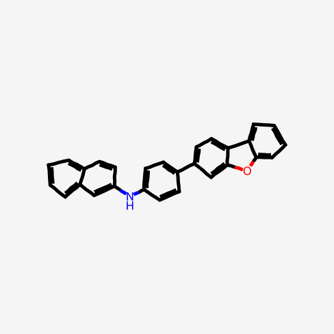 c1ccc2cc(Nc3ccc(-c4ccc5c(c4)oc4ccccc45)cc3)ccc2c1